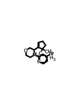 CC1(C)CCC=C1C1COCCN1c1cc(N)ccn1